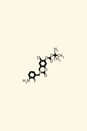 CC(C)(C)OC(=O)Oc1cc2c(cc1Cl)CN(Cc1cccc(N)c1F)C(=O)O2